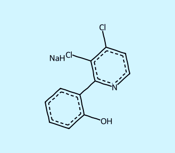 Oc1ccccc1-c1nccc(Cl)c1Cl.[NaH]